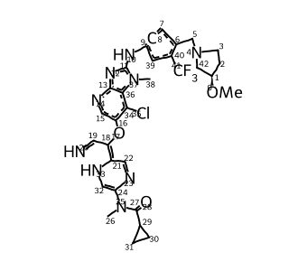 CO[C@@H]1CCN(Cc2ccc(Nc3nc4ncc(O/C(C=N)=C5\C=NC(N(C)C(=O)C6CC6)=CN5)c(Cl)c4n3C)cc2C(F)(F)F)C1